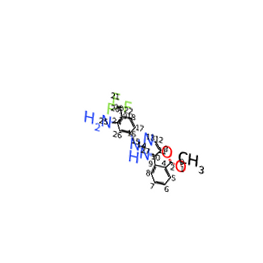 COC(=O)c1ccccc1-c1ccnc(Nc2ccc(C(F)(F)F)c(N)c2)n1